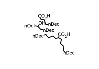 CCCCCCCCCCCC(O)CCCCCCCC.CCCCCCCCCCCCCC(=O)O.CCCCCCCCCCCCCCC(CCCCCCCCCCCCCC)C(=O)O